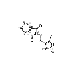 Cc1nc(C)c(CCN2C(=O)c3ccccc3C2=O)s1